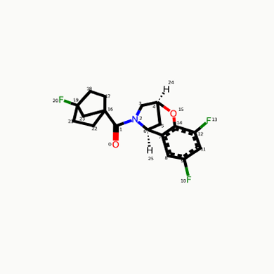 O=C(N1C[C@@H]2C[C@H]1c1cc(F)cc(F)c1O2)C12CCC(F)(CC1)C2